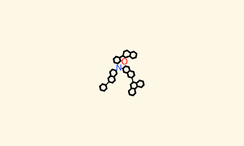 c1ccc(-c2ccc3cc(N(c4ccc5ccc(-c6cc7ccccc7c7ccccc67)cc5c4)c4cccc5c4oc4c6ccccc6ccc54)ccc3c2)cc1